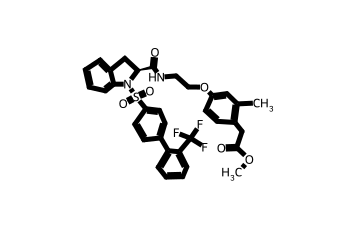 COC(=O)Cc1ccc(OCCNC(=O)[C@@H]2Cc3ccccc3N2S(=O)(=O)c2ccc(-c3ccccc3C(F)(F)F)cc2)cc1C